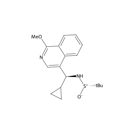 COc1ncc([C@@H](N[S@@+]([O-])C(C)(C)C)C2CC2)c2ccccc12